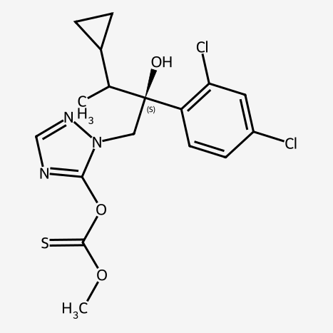 COC(=S)Oc1ncnn1C[C@@](O)(c1ccc(Cl)cc1Cl)C(C)C1CC1